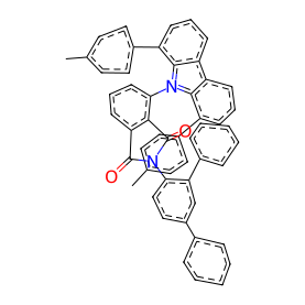 Cc1ccc(-c2cccc3c4cccc(-c5ccc(C)cc5)c4n(-c4cccc5c4C(=O)N(c4ccc(-c6ccccc6)cc4-c4ccccc4)C5=O)c23)cc1